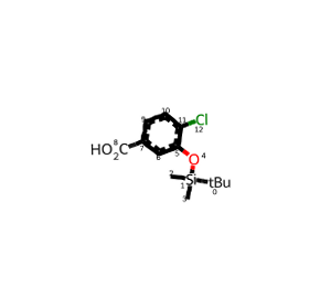 CC(C)(C)[Si](C)(C)Oc1cc(C(=O)O)ccc1Cl